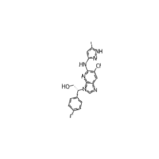 Cc1cc(Nc2nc3c(cc2Cl)ncn3[C@@H](CO)c2ccc(F)cc2)n[nH]1